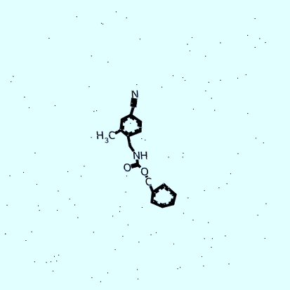 Cc1cc(C#N)ccc1CNC(=O)OCc1ccccc1